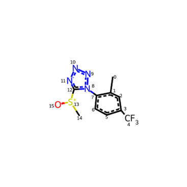 Cc1cc(C(F)(F)F)ccc1-n1nnnc1[S+](C)[O-]